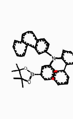 CC1(C)OB(c2cccc(N(c3ccc4ccc5ccccc5c4c3)c3ccccc3-c3ccccc3)c2)OC1(C)C